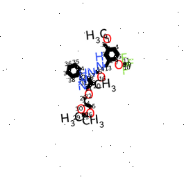 COCc1ccc(OC(F)(F)F)c(CNC(=O)Nc2c(C)c(OC[C@H]3COC(C)(C)O3)nn2-c2ccccc2)c1